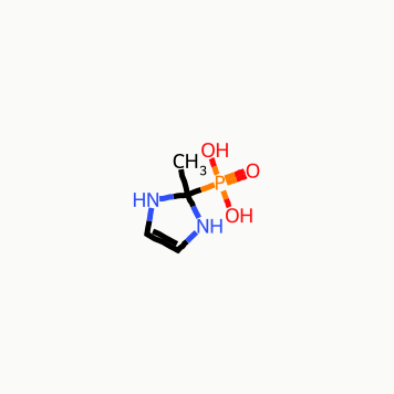 CC1(P(=O)(O)O)NC=CN1